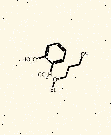 CCOCCCO.O=C(O)c1ccccc1C(=O)O